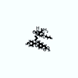 CCCCOc1nc(N)c2[nH]c(=O)n(CCCN(Cc3cccc(CC(=O)OC)c3)C(=O)C3CCN(C)CC3)c2n1